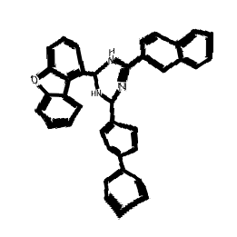 c1ccc(-c2ccc(C3N=C(c4ccc5ccccc5c4)NC(c4cccc5oc6ccccc6c45)N3)cc2)cc1